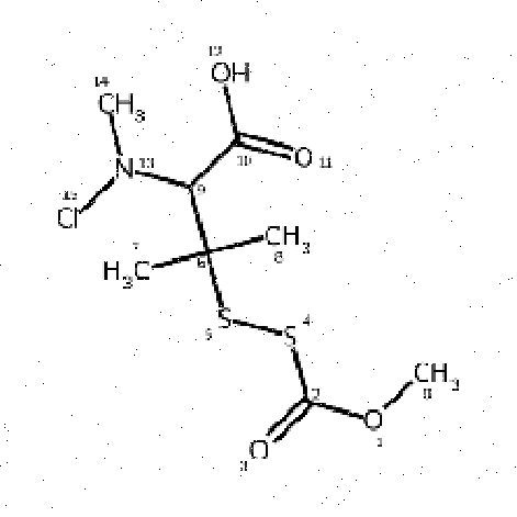 COC(=O)SSC(C)(C)C(C(=O)O)N(C)Cl